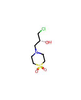 O=S1(=O)CCN(C[C@@H](O)CCl)CC1